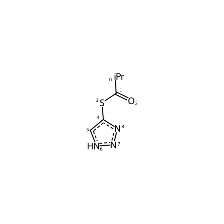 CC(C)C(=O)Sc1c[nH]nn1